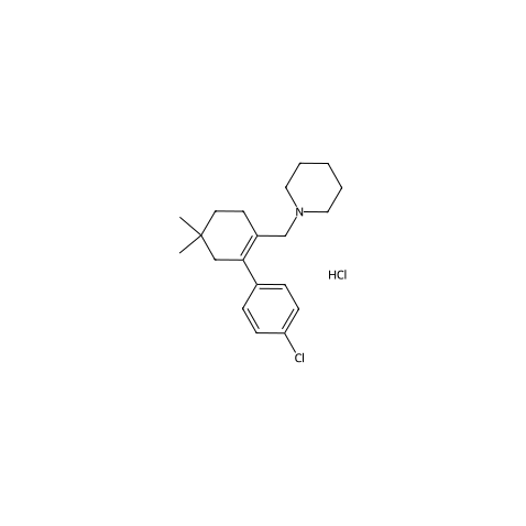 CC1(C)CCC(CN2CCCCC2)=C(c2ccc(Cl)cc2)C1.Cl